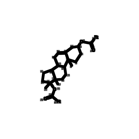 CCC(=O)OC1CCC2(C)C(=CCC3C2CCC2(C)C3CCC2(C)OC(=O)CC)C1